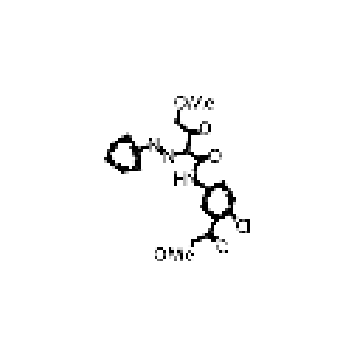 COCC(=O)c1cc(NC(=O)C(N=Nc2ccccc2)C(=O)COC)ccc1Cl